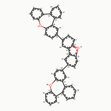 c1ccc2c(c1)Oc1ccc(-c3ccc4oc5ccc(-c6ccc7c(c6)-c6ccccc6-c6ccccc6O7)cc5c4c3)cc1-c1ccccc1-2